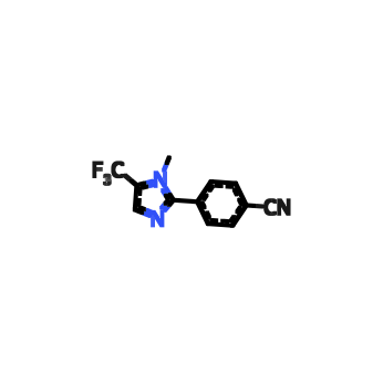 Cn1c(C(F)(F)F)cnc1-c1ccc(C#N)cc1